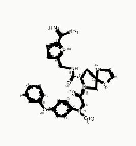 N=C(N)c1ccc(CNC(=O)[C@@H]2CC3(CN2C(=O)CN(C=O)c2ccc(Oc4ccccc4)cc2)OCCO3)s1